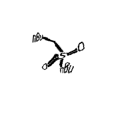 [CH2]CCCS(=O)(=O)CCCCC